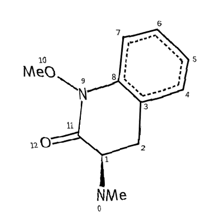 CN[C@@H]1Cc2ccccc2N(OC)C1=O